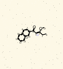 CC/C(=C/C(=O)c1ccc2ccccc2c1)OC